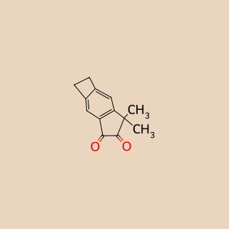 CC1(C)C(=O)C(=O)c2cc3c(cc21)CC3